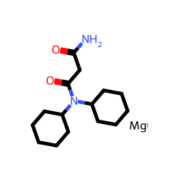 NC(=O)CC(=O)N(C1CCCCC1)C1CCCCC1.[Mg]